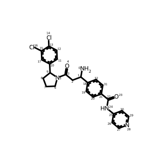 NC(CC(=O)N1CCCC1c1ccc(Cl)c(Cl)c1)c1ccc(C(=O)Nc2ccncc2)cc1